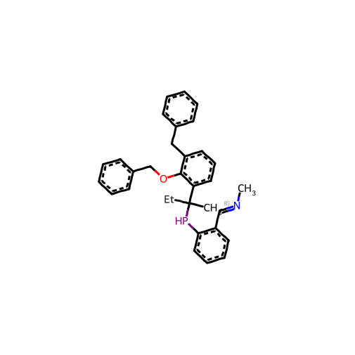 CCC(C)(Pc1ccccc1/C=N/C)c1cccc(Cc2ccccc2)c1OCc1ccccc1